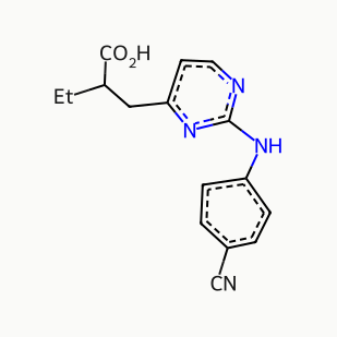 CCC(Cc1ccnc(Nc2ccc(C#N)cc2)n1)C(=O)O